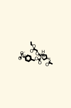 CCOC(=O)CON1[C@H]2C[C@H](SC(C)=O)C[N+]21C(=O)OCc1ccc([N+](=O)[O-])cc1